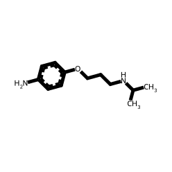 CC(C)NCCCOc1ccc(N)cc1